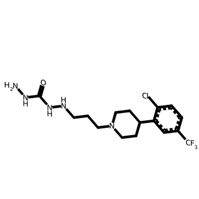 NNC(=O)NNCCCN1CCC(c2cc(C(F)(F)F)ccc2Cl)CC1